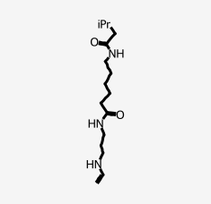 C=CNCCCNC(=O)CCCCCNC(=O)CC(C)C